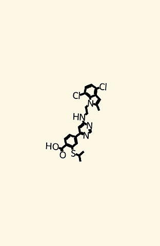 Cc1cc2c(Cl)ccc(Cl)c2n1CCNc1cc(-c2ccc(C(=O)O)c(SC(C)C)c2)ncn1